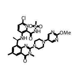 COc1ncc(N2CCN(c3nc4c([C@@H](C)Nc5ccc(Cl)nc5C(=O)NS(C)(=O)=O)cc(C)cc4c(=O)n3C)CC2)cn1